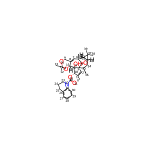 CC1=C[C@]23C(=O)[C@@H](C=C4COC(C)(C)O[C@H]4[C@]2(O)[C@H]1OC(=O)N1CCCc2ccccc21)[C@H]1[C@@H](C[C@H]3C)C1(C)C